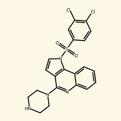 O=S(=O)(c1ccc(Cl)c(Cl)c1)n1ccc2c(N3CCNCC3)nc3ccccc3c21